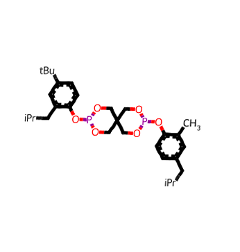 Cc1cc(CC(C)C)ccc1OP1OCC2(CO1)COP(Oc1ccc(C(C)(C)C)cc1CC(C)C)OC2